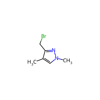 Cc1cn(C)nc1CBr